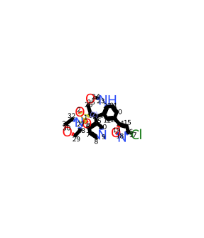 O=S(=O)(/C1=C(\c2cccnc2)c2cc(-c3cc(Cl)no3)ccc2NCOC1)N1CCOCC1